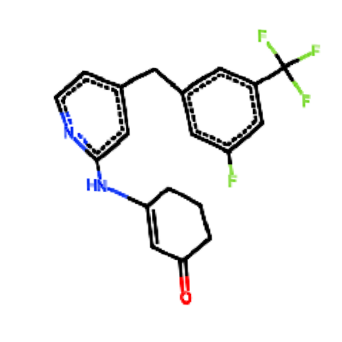 O=C1C=C(Nc2cc(Cc3cc(F)cc(C(F)(F)F)c3)ccn2)CCC1